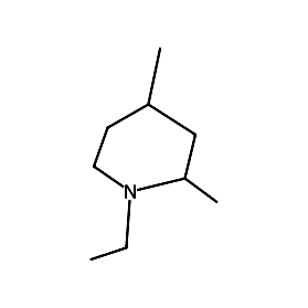 CCN1CCC(C)CC1C